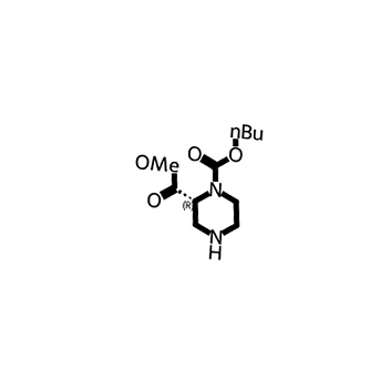 CCCCOC(=O)N1CCNC[C@@H]1C(=O)OC